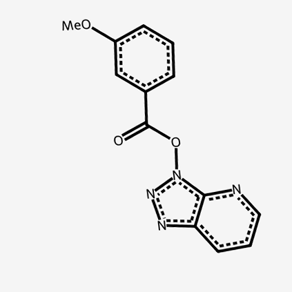 COc1cccc(C(=O)On2nnc3cccnc32)c1